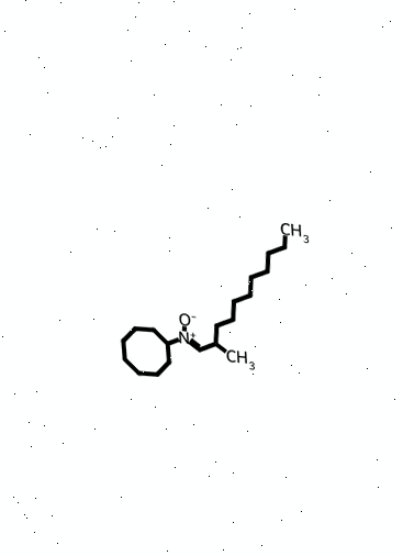 CCCCCCCCCC(C)C=[N+]([O-])C1CCCCCCC1